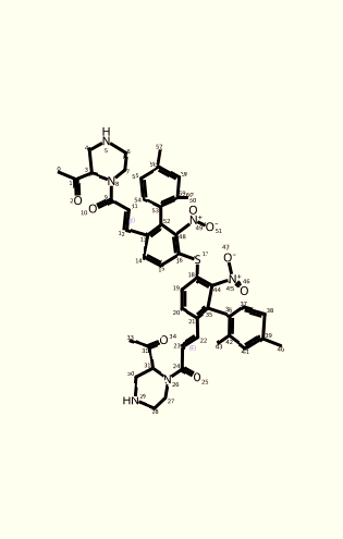 CC(=O)C1CNCCN1C(=O)/C=C/c1ccc(Sc2ccc(/C=C/C(=O)N3CCNCC3C(C)=O)c(-c3ccc(C)cc3C)c2[N+](=O)[O-])c([N+](=O)[O-])c1-c1ccc(C)cc1C